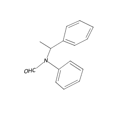 CC(c1ccccc1)N(C=O)c1ccccc1